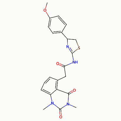 COc1ccc(C2CSC(NC(=O)Cc3cccc4c3c(=O)n(C)c(=O)n4C)=N2)cc1